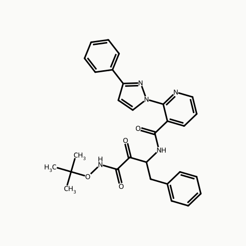 CC(C)(C)ONC(=O)C(=O)C(Cc1ccccc1)NC(=O)c1cccnc1-n1ccc(-c2ccccc2)n1